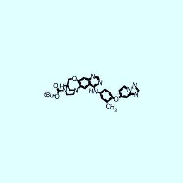 Cc1cc(Nc2ncnc3cc4c(cc23)N2CCN(C(=O)OC(C)(C)C)[C@H](CO4)C2)ccc1Oc1ccn2ncnc2c1